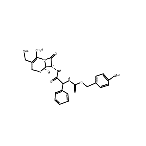 COc1ccc(COC(=O)NC(C(=O)N[C@H]2C(=O)N3C(C(=O)O)=C(COC(C)=O)CS[C@H]23)c2ccccc2)cc1